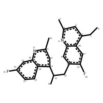 CCc1cc(C)nc2cc(CC(C)c3cc(C)nc4cc(F)ccc34)c(F)cc12